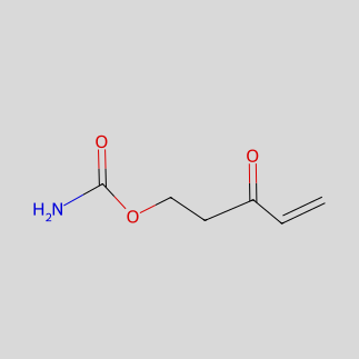 C=CC(=O)CCOC(N)=O